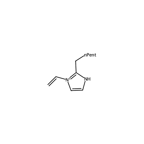 C=C[n+]1cc[nH]c1CCCCCC